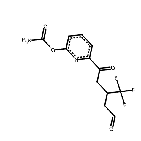 NC(=O)Oc1cccc(C(=O)CC(CC=O)C(F)(F)F)n1